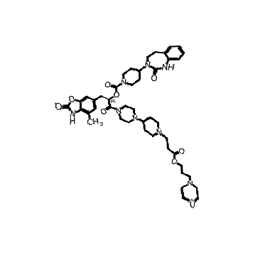 Cc1cc(C[C@@H](OC(=O)N2CCC(N3CCc4ccccc4NC3=O)CC2)C(=O)N2CCN(C3CCN(CCC(=O)OCCCN4CCOCC4)CC3)CC2)cc2oc(=O)[nH]c12